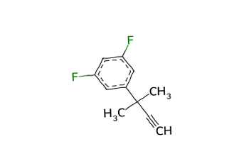 C#CC(C)(C)c1cc(F)cc(F)c1